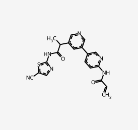 C=CC(=O)Nc1ccc(-c2cncc(C(C)C(=O)Nc3ncc(C#N)s3)c2)cn1